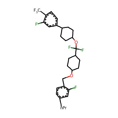 CCCc1ccc(COC2CCC(C(F)(F)OC3CCC(c4ccc(C(F)(F)F)c(F)c4)CC3)CC2)c(F)c1